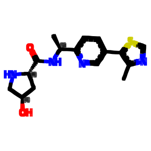 Cc1ncsc1-c1ccc([C@H](C)NC(=O)[C@@H]2C[C@@H](O)CN2)nc1